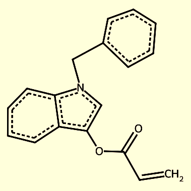 C=CC(=O)Oc1cn(Cc2ccccc2)c2ccccc12